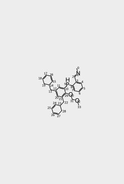 C/N=C/c1ccccc1Pc1cc(CC2C=CC=CC2)cc(CC2C=CC=CC2)c1OCOC